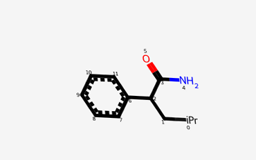 CC(C)CC(C(N)=O)c1ccccc1